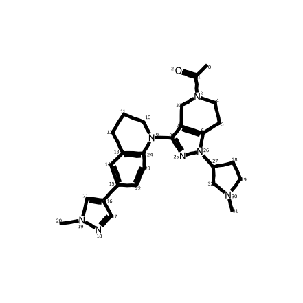 CC(=O)N1CCc2c(c(N3CCCc4cc(-c5cnn(C)c5)ccc43)nn2C2CCN(C)C2)C1